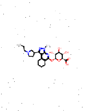 CCCN1CC[C@H](c2nn(C)c3nc(O[C@@H]4O[C@H](C(=O)O)[C@@H](O)[C@H](O)[C@H]4O)c4c(c23)CCCC4)C1